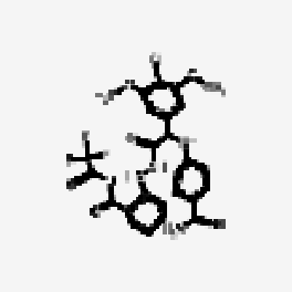 COc1cc(C(Nc2ccc(C(=N)N)cc2)C(=O)NNc2ccccc2C(=O)OC(=O)C(F)(F)F)cc(OC)c1O